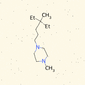 CCC(C)(CC)CCCN1CCN(C)CC1